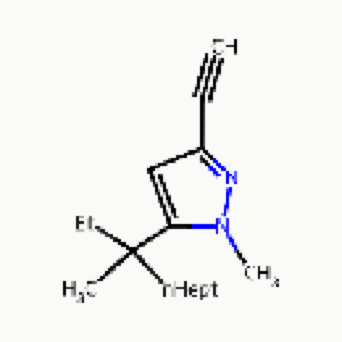 C#Cc1cc(C(C)(CC)CCCCCCC)n(C)n1